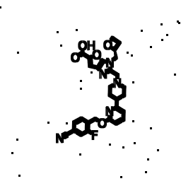 N#Cc1ccc(COc2cccc(C3CCN(Cc4nc5cc(C(=O)O)oc5n4C[C@@H]4CCO4)CC3)n2)c(F)c1